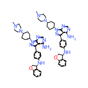 CN1CCN([C@H]2CC[C@@H](n3nc(-c4ccc(NC5COc6ccccc65)cc4)c4c(N)ncnc43)CC2)CC1.CN1CCN([C@H]2CC[C@H](n3nc(-c4ccc(NC5COc6ccccc65)cc4)c4c(N)ncnc43)CC2)CC1